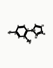 CC(=O)c1cc(F)ccc1-n1ccnn1